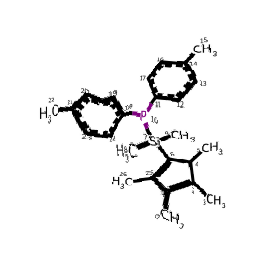 CC1=C(C)C(C)C([Si](C)(C)P(c2ccc(C)cc2)c2ccc(C)cc2)=C1C